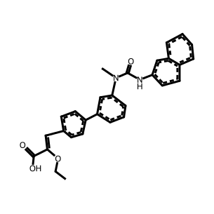 CCO/C(=C\c1ccc(-c2cccc(N(C)C(=O)Nc3ccc4ccccc4c3)c2)cc1)C(=O)O